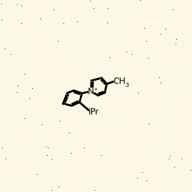 Cc1cc[n+](-c2ccccc2C(C)C)cc1